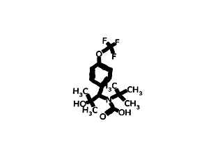 CC(C)(O)C(c1ccc(OC(F)(F)F)cc1)N(C(=O)O)C(C)(C)C